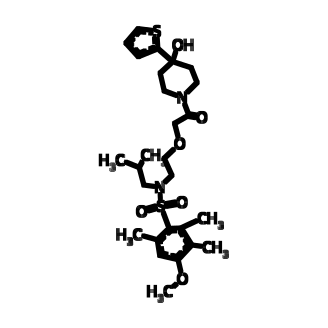 COc1cc(C)c(S(=O)(=O)N(CCOCC(=O)N2CCC(O)(c3cccs3)CC2)CC(C)C)c(C)c1C